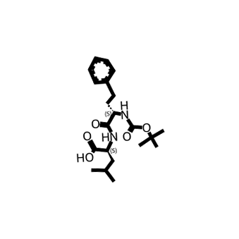 CC(C)C[C@H](NC(=O)[C@H](CCc1ccccc1)NC(=O)OC(C)(C)C)C(=O)O